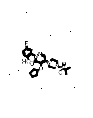 CC(C)S(=O)(=O)N1CCN(c2cnn(-c3cc(F)ccc3O)c(=O)c2OC2CCCC2)CC1